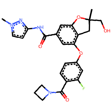 Cn1ccc(NC(=O)c2cc(Oc3ccc(C(=O)N4CCC4)c(F)c3)c3c(c2)OC(C)(CO)C3)n1